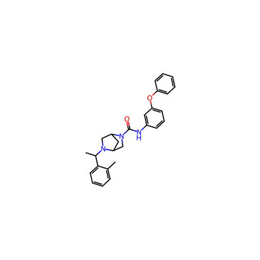 Cc1ccccc1C(C)N1CC2CC1CN2C(=O)Nc1cccc(Oc2ccccc2)c1